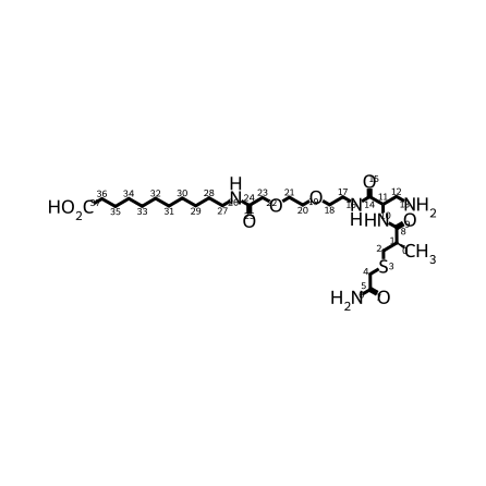 C[C@@H](CSCC(N)=O)C(=O)NC(CN)C(=O)NCCOCCOCC(=O)NCCCCCCCCCCC(=O)O